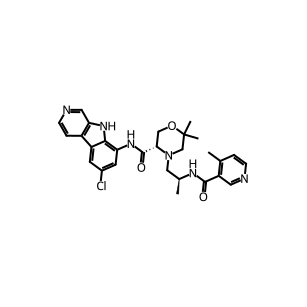 Cc1ccncc1C(=O)N[C@@H](C)CN1CC(C)(C)OC[C@H]1C(=O)Nc1cc(Cl)cc2c1[nH]c1cnccc12